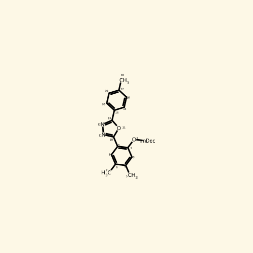 CCCCCCCCCCOc1cc(C)c(C)cc1-c1nnc(-c2ccc(C)cc2)o1